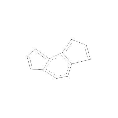 [C]1=Cc2ccc3c(c2=C1)=CC=C3